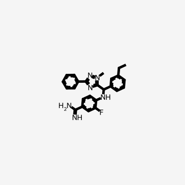 CCc1cccc(C(Nc2ccc(C(=N)N)cc2F)c2nc(-c3ccccc3)nn2C)c1